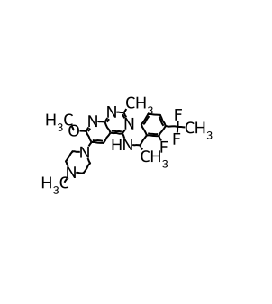 COc1nc2nc(C)nc(N[C@H](C)c3cccc(C(C)(F)F)c3F)c2cc1N1CCN(C)CC1